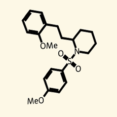 COc1ccc(S(=O)(=O)N2CCCCC2CCc2ccccc2OC)cc1